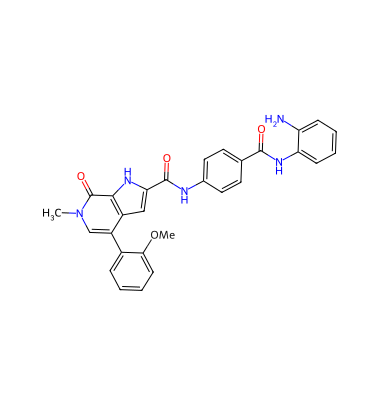 COc1ccccc1-c1cn(C)c(=O)c2[nH]c(C(=O)Nc3ccc(C(=O)Nc4ccccc4N)cc3)cc12